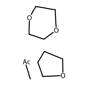 C1CCOC1.C1COCCO1.CC(C)=O